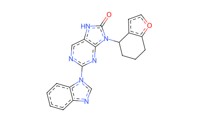 O=c1[nH]c2cnc(-n3cnc4ccccc43)nc2n1C1CCCc2occc21